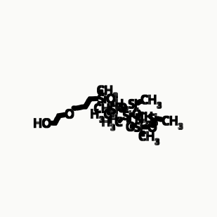 C[SiH2]O[Si](C)(C)O[Si@@](C)(O[SiH2]C)O[SiH](C)O[Si](C)(C)CCCOCCO